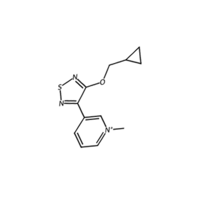 C[n+]1cccc(-c2nsnc2OCC2CC2)c1